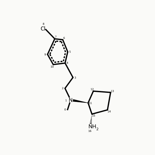 CN(CCc1ccc(Cl)cc1)[C@H]1CCC[C@@H]1N